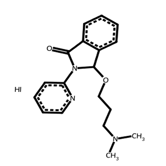 CN(C)CCCOC1c2ccccc2C(=O)N1c1ccccn1.I